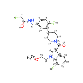 O=C(CF)NCc1ccc(F)c(C2CCN(C(=O)c3cn(CCOC(F)(F)F)c4c(F)cccc34)CC2)c1